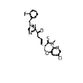 CN1C(=S)[C@@H](/C=C/CC(=O)c2ncn(Cc3ccccc3F)n2)COc2cc(Cl)cnc21